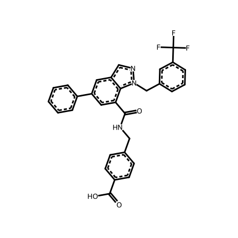 O=C(O)c1ccc(CNC(=O)c2cc(-c3ccccc3)cc3cnn(Cc4cccc(C(F)(F)F)c4)c23)cc1